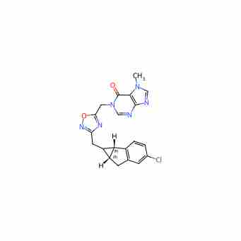 Cn1cnc2ncn(Cc3nc(CC4[C@H]5Cc6cc(Cl)ccc6[C@@H]45)no3)c(=O)c21